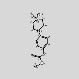 CCOC(=S)Sc1ccc(N2CCS(=O)(=O)CC2)cc1